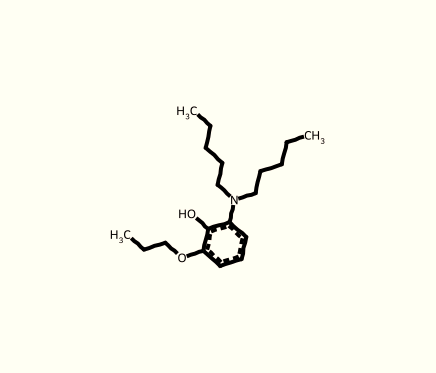 CCCCCN(CCCCC)c1cccc(OCCC)c1O